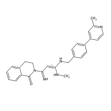 CN/C(=C\C(=N)N1CCc2ccccc2C1=O)NCc1ccc(-c2ccnc(C)c2)cc1